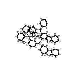 c1ccc(N(c2ccccc2)c2cc(N(c3ccc4c(c3)C3(c5ccccc5O4)c4ccccc4-c4ccccc43)c3ccc4oc5ccccc5c4c3)c3oc4ccccc4c3c2)cc1